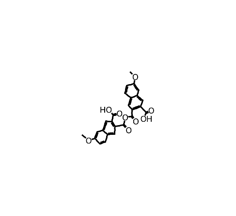 COc1ccc2cc(C(=O)OC(=O)c3cc4ccc(OC)cc4cc3C(=O)O)c(C(=O)O)cc2c1